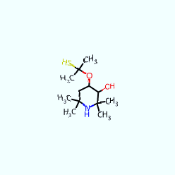 CC1(C)CC(OC(C)(C)S)C(O)C(C)(C)N1